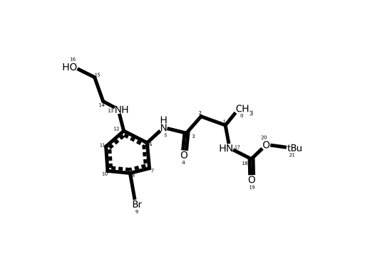 CC(CC(=O)Nc1cc(Br)ccc1NCCO)NC(=O)OC(C)(C)C